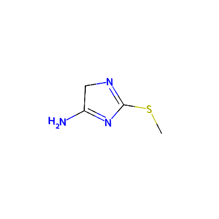 CSC1=NCC(N)=N1